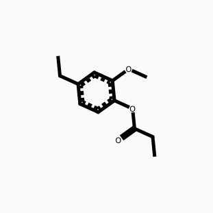 CCC(=O)Oc1ccc(CC)cc1OC